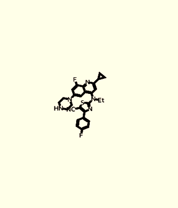 CCN(c1nc(-c2ccc(F)cc2)c(C#N)s1)c1cc(C2CC2)nc2c(F)cc(N3CCNCC3)cc12